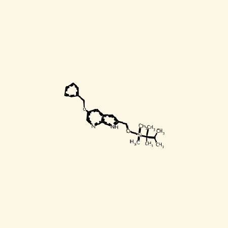 CC(C)C(C)(C)[Si](C)(C)OCc1cc2cc(OCc3ccccc3)cnc2[nH]1